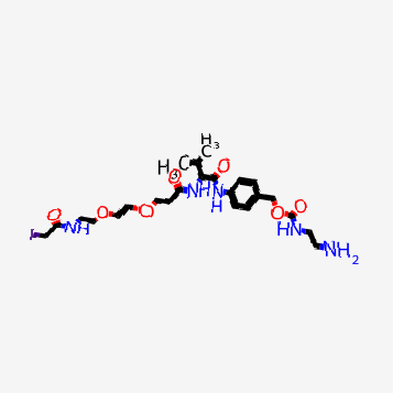 CC(C)C(NC(=O)CCOCCOCCNC(=O)CI)C(=O)Nc1ccc(COC(=O)NCCN)cc1